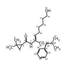 CC1(C)CC1C(=O)NC(=CCCCCCO)C(=O)O.CN(C)Cc1ccccc1